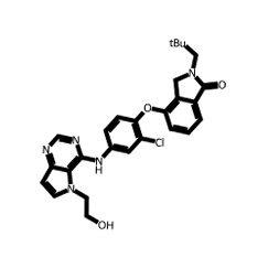 CC(C)(C)CN1Cc2c(Oc3ccc(Nc4ncnc5ccn(CCO)c45)cc3Cl)cccc2C1=O